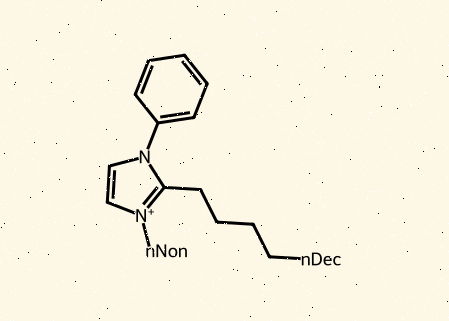 CCCCCCCCCCCCCCc1n(-c2ccccc2)cc[n+]1CCCCCCCCC